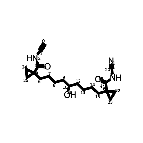 C#CNC(=O)C1(CCCCC(O)CCCCC2(C(=O)NC#N)CC2)CC1